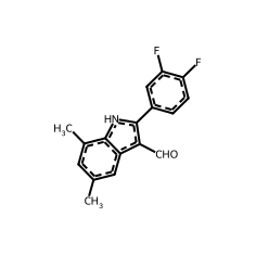 Cc1cc(C)c2[nH]c(-c3ccc(F)c(F)c3)c(C=O)c2c1